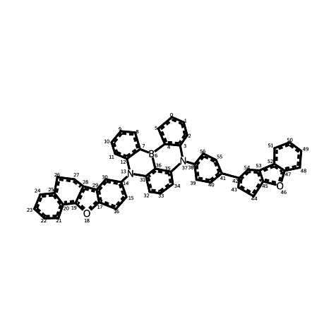 c1ccc2c(c1)B1c3ccccc3N(c3ccc4oc5c6ccccc6ccc5c4c3)c3cccc(c31)N2c1ccc(-c2ccc3oc4ccccc4c3c2)cc1